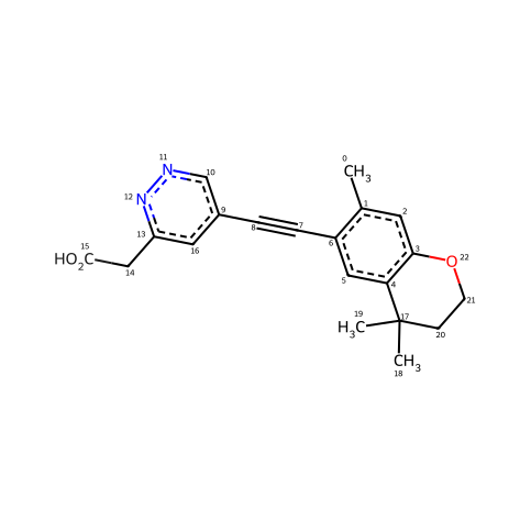 Cc1cc2c(cc1C#Cc1cnnc(CC(=O)O)c1)C(C)(C)CCO2